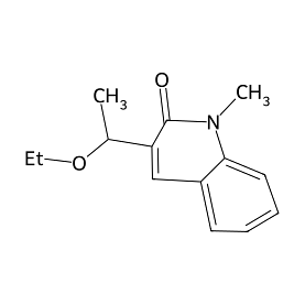 CCOC(C)c1cc2ccccc2n(C)c1=O